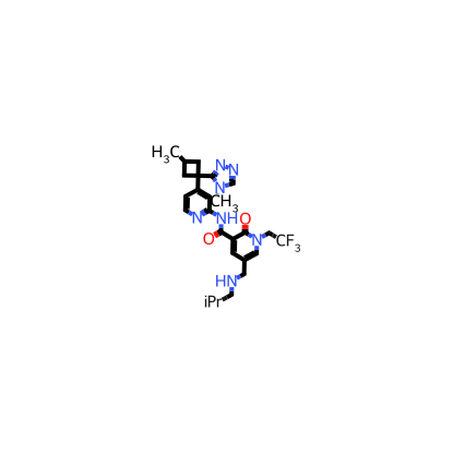 CC(C)CNCc1cc(C(=O)Nc2cc(C3(c4nncn4C)CC(C)C3)ccn2)c(=O)n(CC(F)(F)F)c1